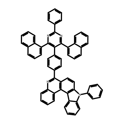 c1ccc(-c2nc(-c3cccc4ccccc34)c(-c3ccc(-c4nc5ccccc5c5c4ccc4c5c5ccccc5n4-c4ccccc4)cc3)c(-c3cccc4ccccc34)n2)cc1